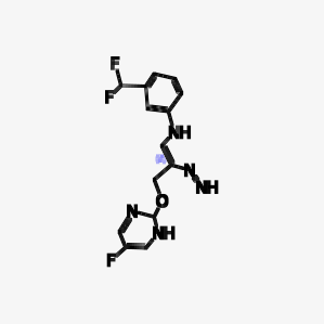 N=N/C(=C\Nc1cccc(C(F)F)c1)COC1N=CC(F)=CN1